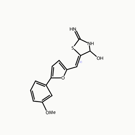 COc1cccc(-c2ccc(/C=C3\SC(=N)NC3O)o2)c1